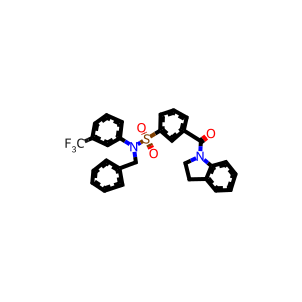 O=C(c1cccc(S(=O)(=O)N(Cc2ccccc2)c2cccc(C(F)(F)F)c2)c1)N1CCc2ccccc21